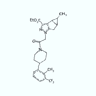 CCOC(=O)c1nn(CC(=O)N2CCC(c3cccc(C(F)(F)F)c3C)CC2)c2c1C1C(C)C1C2